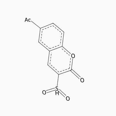 CC(=O)c1ccc2oc(=O)c([SH](=O)=O)cc2c1